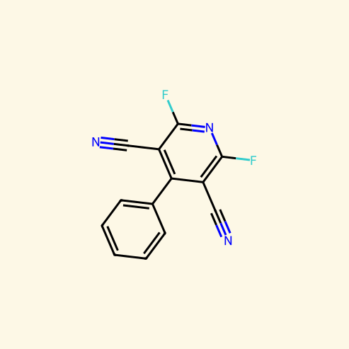 N#Cc1c(F)nc(F)c(C#N)c1-c1ccccc1